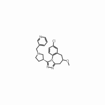 COC1Cc2cc(Cl)ccc2-n2c(nnc2[C@H]2CCN(Cc3cccnc3)C2)C1